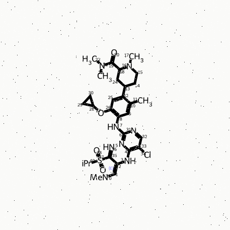 CN/C=C(/Nc1nc(Nc2cc(C)c(C3CCN(C)C(C(=O)N(C)C)C3)cc2OC2CC2)ncc1Cl)C(=N)S(=O)(=O)C(C)C